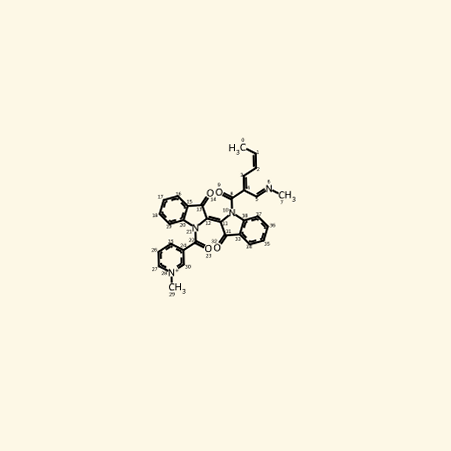 C\C=C/C=C(\C=N\C)C(=O)N1/C(=C2\C(=O)c3ccccc3N2C(=O)c2ccc[n+](C)c2)C(=O)c2ccccc21